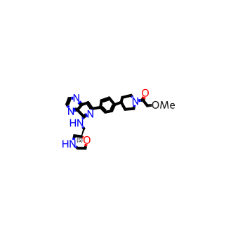 COCC(=O)N1CCC(c2ccc(-c3cc4nccnc4c(NC[C@@H]4CNCCO4)n3)cc2)CC1